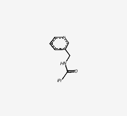 CC(C)C(=O)NCc1cccnc1